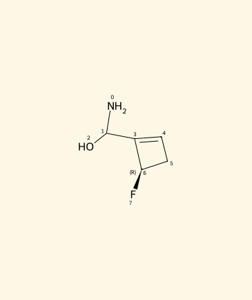 NC(O)C1=CC[C@H]1F